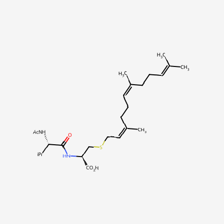 CC(=O)N[C@H](C(=O)N[C@@H](CSCC=C(C)CCC=C(C)CCC=C(C)C)C(=O)O)C(C)C